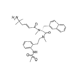 CN(CCc1ccccc1NS(C)(=O)=O)C(=O)[C@@H](Cc1ccc2ccccc2c1)N(C)C(=O)C=CCC(C)(C)N